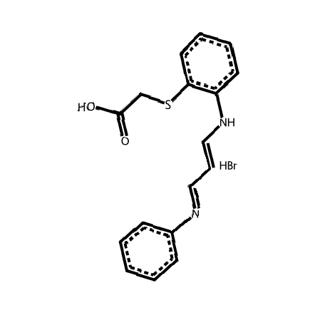 Br.O=C(O)CSc1ccccc1NC=CC=Nc1ccccc1